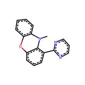 CN1c2ccccc2Oc2cccc(-c3ncccn3)c21